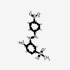 CS(=O)(=O)c1ccc(O)c(N=Nc2ccc([N+](=O)[O-])cc2)c1